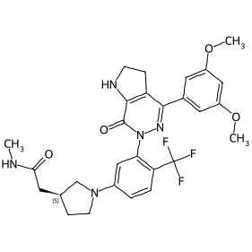 CNC(=O)C[C@@H]1CCN(c2ccc(C(F)(F)F)c(-n3nc(-c4cc(OC)cc(OC)c4)c4c(c3=O)NCC4)c2)C1